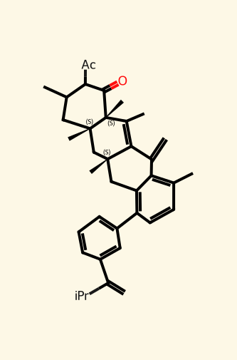 C=C1C2=C(C)[C@@]3(C)C(=O)C(C(C)=O)C(C)C[C@@]3(C)C[C@@]2(C)Cc2c(-c3cccc(C(=C)C(C)C)c3)ccc(C)c21